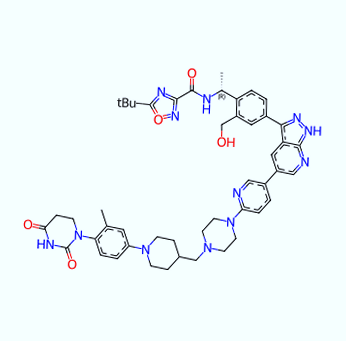 Cc1cc(N2CCC(CN3CCN(c4ccc(-c5cnc6[nH]nc(-c7ccc([C@@H](C)NC(=O)c8noc(C(C)(C)C)n8)c(CO)c7)c6c5)cn4)CC3)CC2)ccc1N1CCC(=O)NC1=O